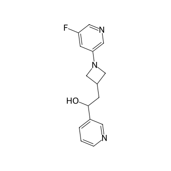 OC(CC1CN(c2cncc(F)c2)C1)c1cccnc1